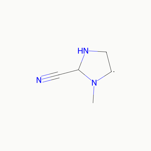 CN1[CH]CNC1C#N